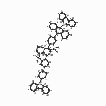 C[Si]1(C)c2cc(-c3c4ccccc4c(-n4c5ccccc5c5ccccc54)c4ccccc34)ccc2-c2c1cc1c3c(cccc23)[Si](C)(C)c2cc(-c3ccc(-n4c5ccccc5c5ccccc54)cc3)ccc2-1